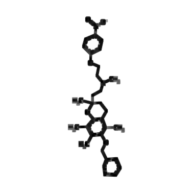 Cc1c(C)c2c(c(C)c1OCc1ccccc1)CCC(C)(CCN(C)CCOc1ccc([N+](=O)[O-])cc1)O2